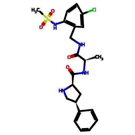 C[C@H](NC(=O)[C@H]1C[C@H](c2ccccc2)CN1)C(=O)NCc1cc(Cl)ccc1NS(C)(=O)=O